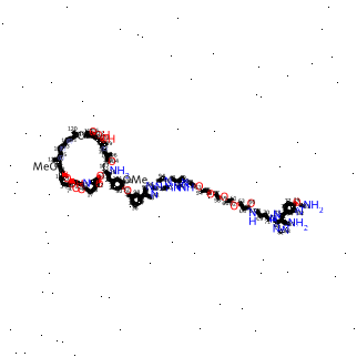 COC1C[C@@H]2CC[C@@H](C)[C@@](O)(O2)C(=O)C(=O)N2CCCCC2C(=O)OC([C@H](N)CC2CCC(OCc3cccc(-c4cnc(N5CCN(CC6=CN(CCOCCOCCOCCOCCC(=O)NCCCCn7nc(-c8ccc9oc(N)nc9c8)c8c(N)ncnc87)NN6)CC5)nc4)c3)[C@H](OC)C2)CC(=O)C(C)/C=C(\C)C(O)[C@@H](O)C(=O)C(C)CC(C)/C=C/C=C/C=C/1C